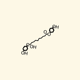 O=C(CCCCCCCCC(O)Oc1ccc(O)cc1)Oc1ccc(O)cc1